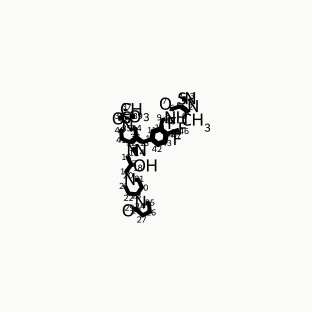 Cc1nnsc1C(=O)NCc1cc(-c2nn(CC(O)CN3CCC(N4CCCC4=O)CC3)c3c2CN(S(C)(=O)=O)CC3)ccc1C(F)(F)F